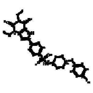 CCn1c(=O)c2[nH]c(-c3ccc(S(=O)(=O)NC4CCN(Cc5ccc(F)cc5)CC4)cc3)cc2n(CC)c1=O